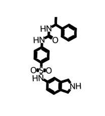 CC(NC(=O)Nc1ccc(S(=O)(=O)Nc2ccc3c(c2)CNC3)cc1)c1ccccc1